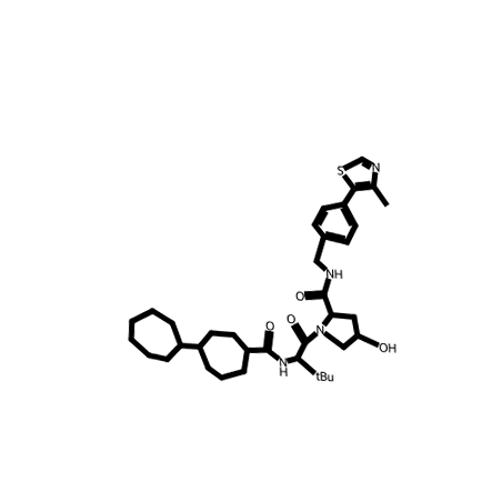 Cc1ncsc1-c1ccc(CNC(=O)C2CC(O)CN2C(=O)C(NC(=O)C2CCCC(C3CCCCCC3)CC2)C(C)(C)C)cc1